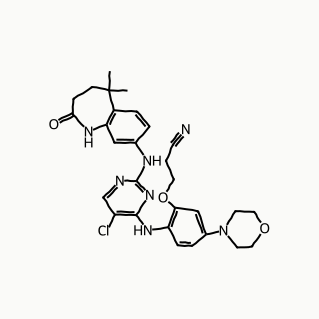 CC1(C)CCC(=O)Nc2cc(Nc3ncc(Cl)c(Nc4ccc(N5CCOCC5)cc4OCCC#N)n3)ccc21